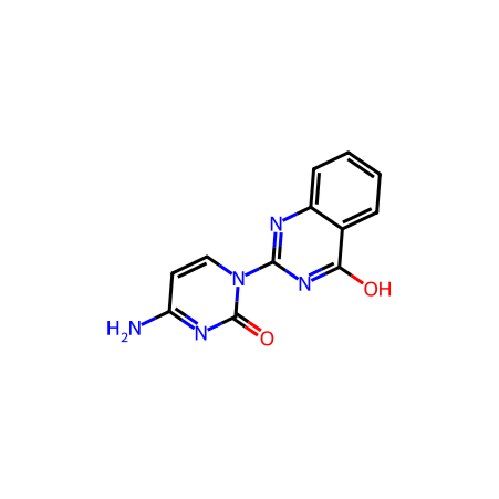 Nc1ccn(-c2nc(O)c3ccccc3n2)c(=O)n1